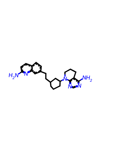 Nc1ccc2ccc(CCC3CCCC(N4CCCc5c(N)ncnc54)C3)cc2n1